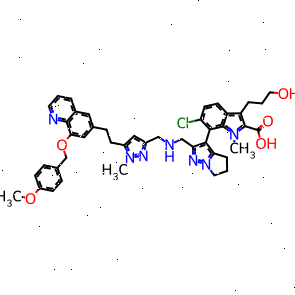 COc1ccc(COc2cc(CCc3cc(CNCc4nn5c(c4-c4c(Cl)ccc6c(CCCO)c(C(=O)O)n(C)c46)CCC5)nn3C)cc3cccnc23)cc1